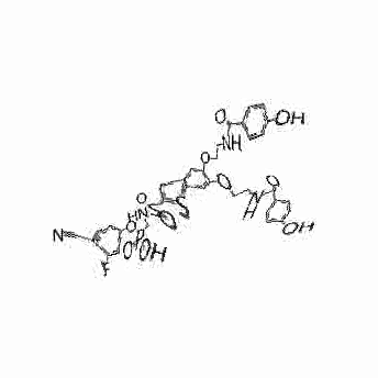 N#Cc1ccc(OP(=O)(O)CNS(=O)(=O)c2cc3cc(OCCNC(=O)c4ccc(O)cc4)c(OCCNC(=O)c4ccc(O)cc4)cc3s2)cc1F